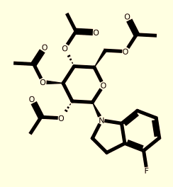 CC(=O)OC[C@H]1O[C@@H](N2CCc3c(F)cccc32)[C@H](OC(C)=O)[C@@H](OC(C)=O)[C@@H]1OC(C)=O